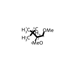 COC[C@@H](OC)C(C)(C)C